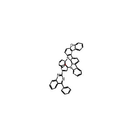 c1ccc(-c2nc(-c3cccc(-n4c5ccccc5c5ccc6c7c8c(ccc7n(-c7ccccc7)c6c54)oc4ccccc48)c3)nc3ccccc23)cc1